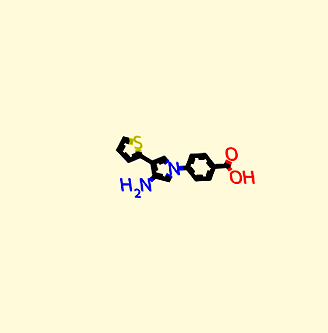 Nc1cn(-c2ccc(C(=O)O)cc2)cc1-c1cccs1